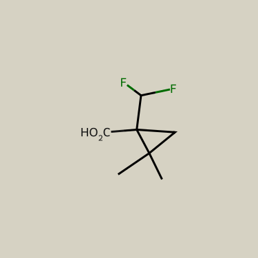 CC1(C)CC1(C(=O)O)C(F)F